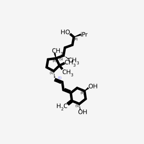 C=C1C(=C/C=C/[C@@H]2CC[C@](C)([C@@H](C)CC[C@@H](O)C(C)C)C2(C)C)C[C@@H](O)C[C@@H]1O